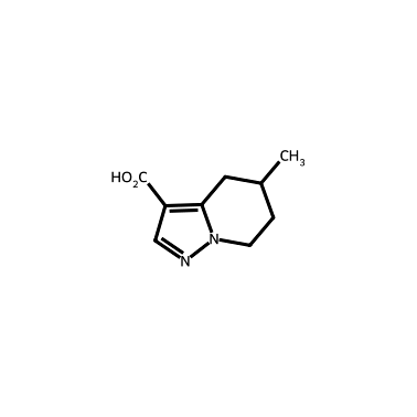 CC1CCn2ncc(C(=O)O)c2C1